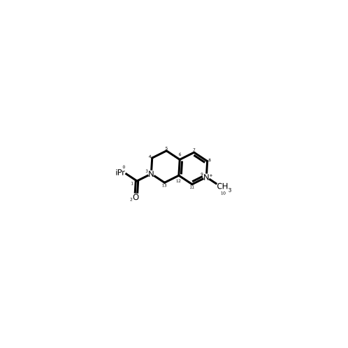 CC(C)C(=O)N1CCc2cc[n+](C)cc2C1